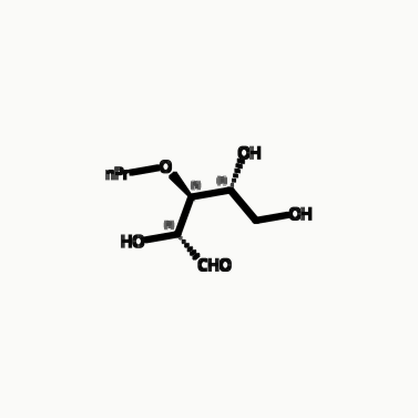 CCCO[C@@H]([C@H](O)CO)[C@@H](O)C=O